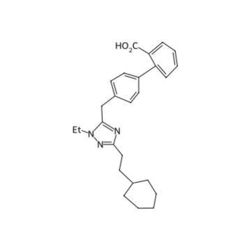 CCn1nc(CCC2CCCCC2)nc1Cc1ccc(-c2ccccc2C(=O)O)cc1